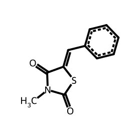 CN1C(=O)S/C(=C\c2ccccc2)C1=O